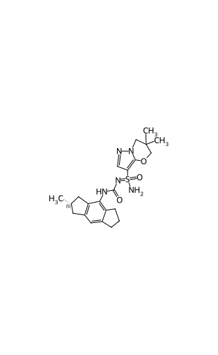 C[C@H]1Cc2cc3c(c(NC(=O)N=S(N)(=O)c4cnn5c4OCC(C)(C)C5)c2C1)CCC3